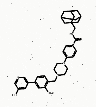 COc1cc(-c2cncc(O)c2)ccc1CN1CCN(c2ccc(C(=O)NCC34CC5CC(CC(C5)C3)C4)cc2)CC1